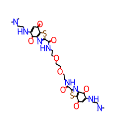 CN(C)CCNC1=CC(=O)c2sc(C(=O)NCCOCCOCCNC(=O)c3nc4c(s3)C(=O)C=C(NCCN(C)C)C4=O)nc2C1=O